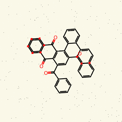 O=C(c1ccccc1)c1cc(C(=O)c2ccccc2)c(-c2ccccc2-c2ccccc2)c(C(=O)c2ccccc2)c1C(=O)c1ccccc1